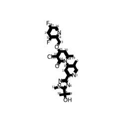 Cc1cnc(-c2nc(C(C)(C)O)n(C)n2)cc1-n1c(C)cc(OCc2ncc(F)cc2F)c(Cl)c1=O